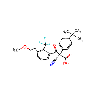 COCCc1cccc(C(=O)C(C#N)(C(=O)O)c2ccc(C(C)(C)C)cc2)c1C(F)(F)F